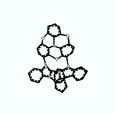 c1cc2c3c(c1)Oc1ccc(-n4c5ccccc5n5c6ccccc6nc45)c4c1B3c1c(ccc(-n3c5ccccc5c5ccccc53)c1O4)O2